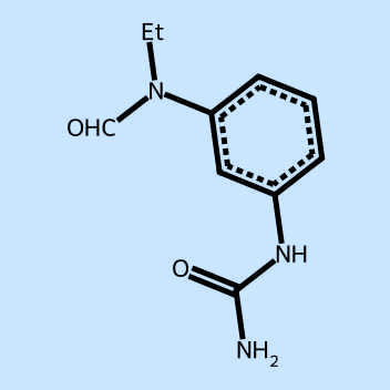 CCN(C=O)c1cccc(NC(N)=O)c1